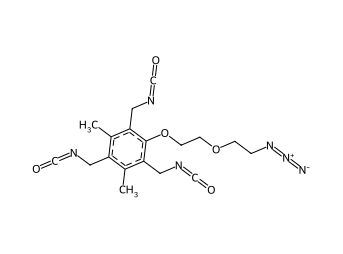 Cc1c(CN=C=O)c(C)c(CN=C=O)c(OCCOCCN=[N+]=[N-])c1CN=C=O